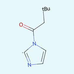 CC(C)(C)CC(=O)n1[c]ncc1